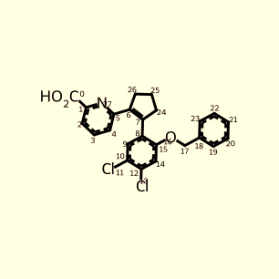 O=C(O)c1cccc(C2=C(c3cc(Cl)c(Cl)cc3OCc3ccccc3)CCC2)n1